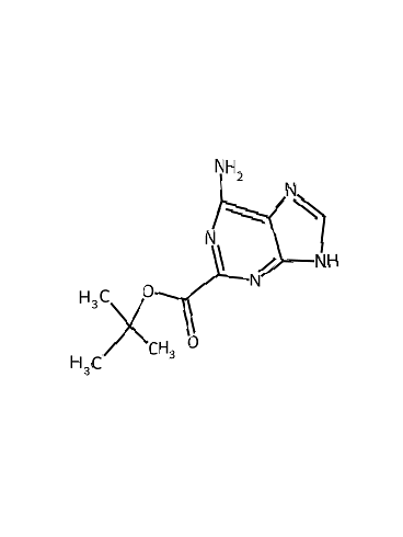 CC(C)(C)OC(=O)c1nc(N)c2nc[nH]c2n1